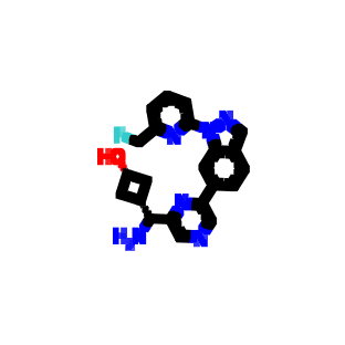 NC(c1cncc(-c2ccc3cnn(-c4cccc(CF)n4)c3c2)n1)[C@H]1C[C@@H](O)C1